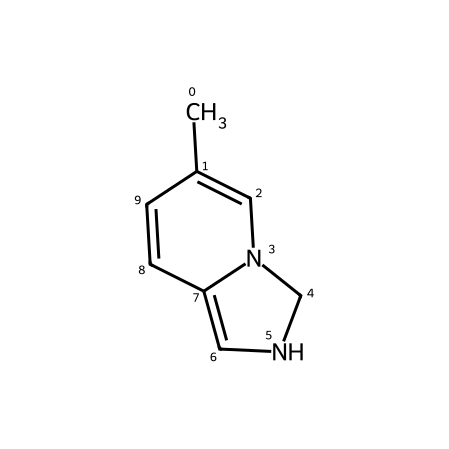 CC1=CN2CNC=C2C=C1